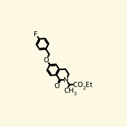 CCOC(=O)C(C)N1CCc2cc(OCc3ccc(F)cc3)ccc2C1=O